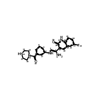 N/C(=C\Nc1cccc(C(=O)N2CCNCC2)c1)c1cc2cc(F)ccc2[nH]c1=O